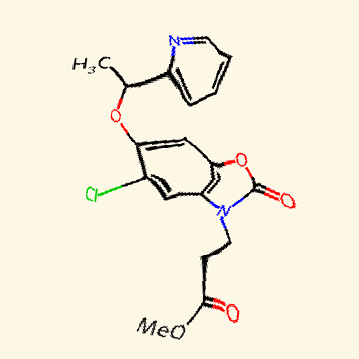 COC(=O)CCn1c(=O)oc2cc(OC(C)c3ccccn3)c(Cl)cc21